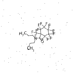 CCCN(CCC)C(=O)C1(C(F)(F)F)C(F)(F)C(F)(F)C(F)(F)C(F)(F)C1(F)F